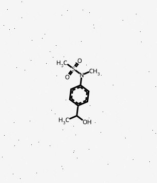 CC(O)c1ccc(N(C)S(C)(=O)=O)cc1